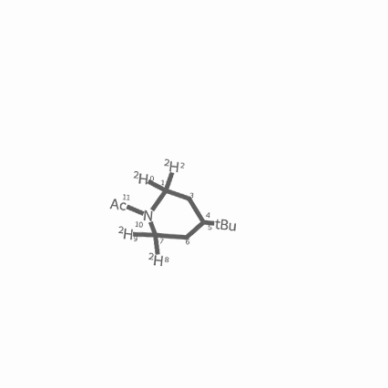 [2H]C1([2H])CC(C(C)(C)C)CC([2H])([2H])N1C(C)=O